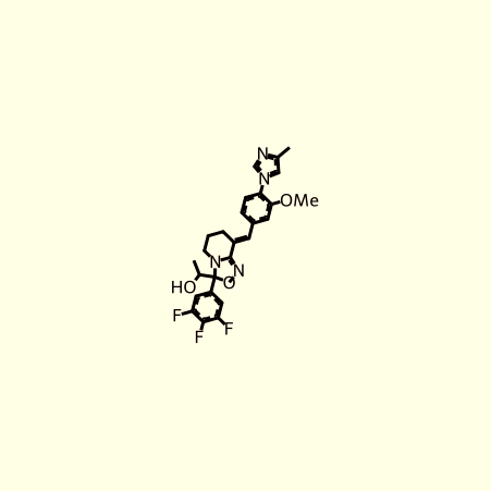 COc1cc(/C=C2\CCCN3C2=NOC3(c2cc(F)c(F)c(F)c2)C(C)O)ccc1-n1cnc(C)c1